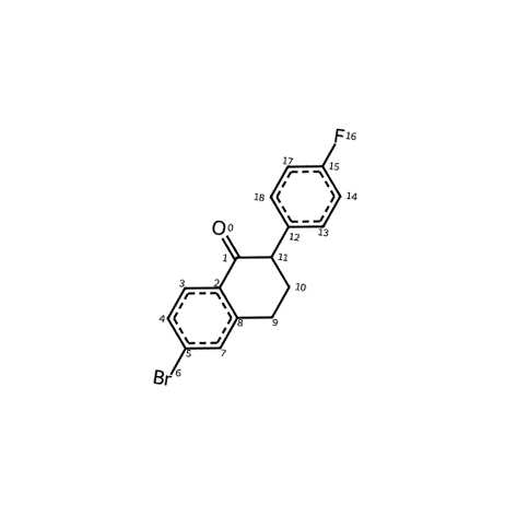 O=C1c2ccc(Br)cc2CCC1c1ccc(F)cc1